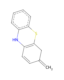 C=C1C=CC2=C(C1)Sc1ccccc1N2